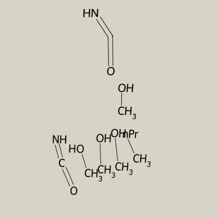 CCCC.CO.CO.CO.CO.N=C=O.N=C=O